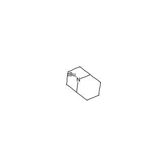 CC(C)(C)N1C2CCCC1CCC2